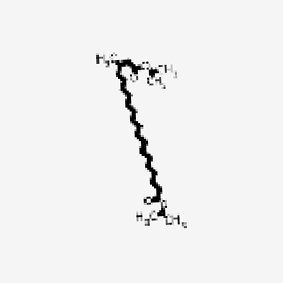 CC(CCCCCCCCCCCCCCCCC(=O)OC(C)C)CC(=O)OC(C)C